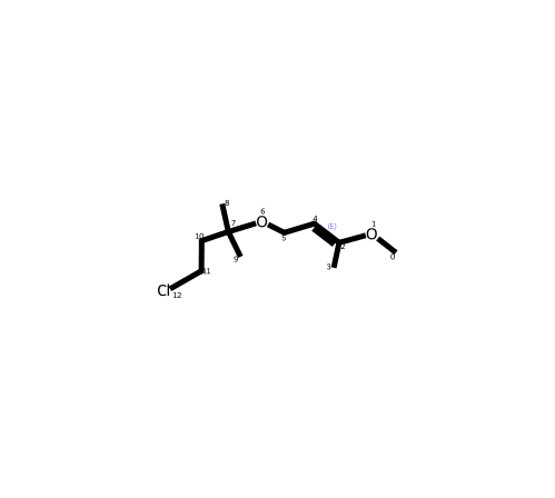 CO/C(C)=C/COC(C)(C)CCCl